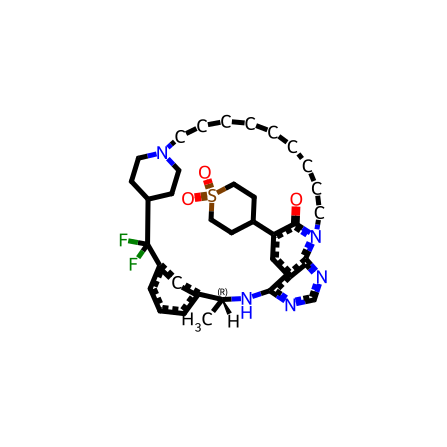 C[C@H]1Nc2ncnc3c2cc(C2CCS(=O)(=O)CC2)c(=O)n3CCCCCCCCCN2CCC(CC2)C(F)(F)c2cccc1c2